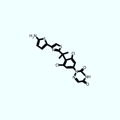 CC(C)(c1nc(-c2ccc(N)s2)cs1)c1c(Cl)cc(-n2ncc(=O)[nH]c2=O)cc1Cl